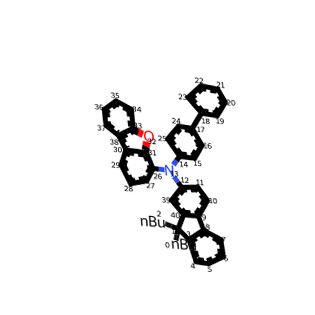 CCCCC1(CCCC)c2ccccc2-c2ccc(N(c3ccc(-c4ccccc4)cc3)c3cccc4c3oc3ccccc34)cc21